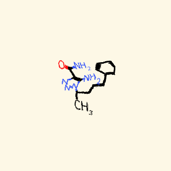 CC(CCCc1ccccc1)n1nnc(C(N)=O)c1N